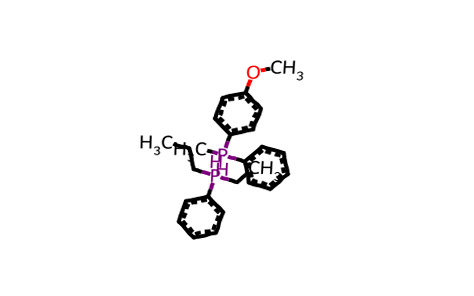 CCC[PH](CC)(c1ccccc1)[PH](C)(c1ccccc1)c1ccc(OC)cc1